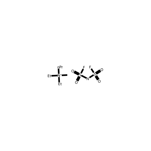 CCC[N+](C)(CC)CC.O=S(=O)(F)[N-]S(=O)(=O)F